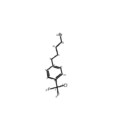 FC(F)(Cl)c1ccc(CCCCBr)cc1